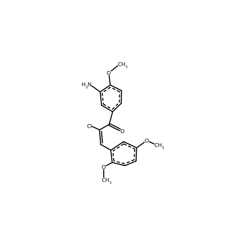 COc1ccc(OC)c(/C=C(/Cl)C(=O)c2ccc(OC)c(N)c2)c1